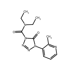 CCN(CC)C(=O)n1nnn(-c2cccnc2C)c1=O